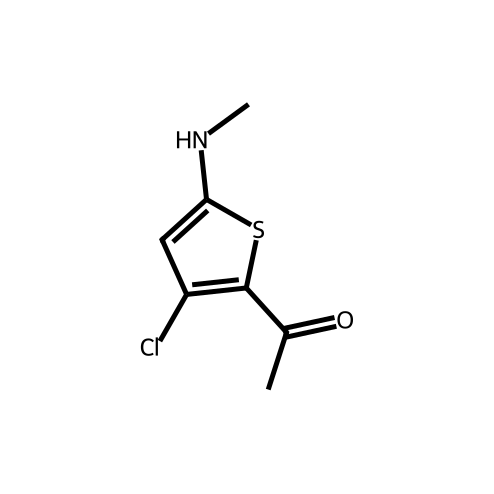 CNc1cc(Cl)c(C(C)=O)s1